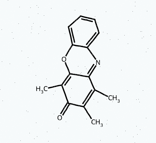 Cc1c2nc3ccccc3oc-2c(C)c(=O)c1C